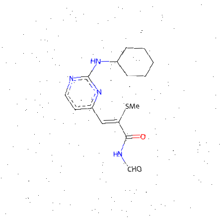 CS/C(=C\c1ccnc(NC2CCCCC2)n1)C(=O)NC=O